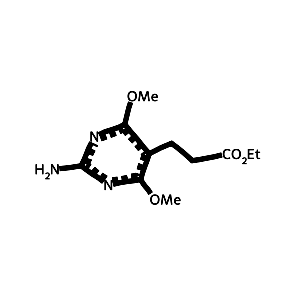 CCOC(=O)CCc1c(OC)nc(N)nc1OC